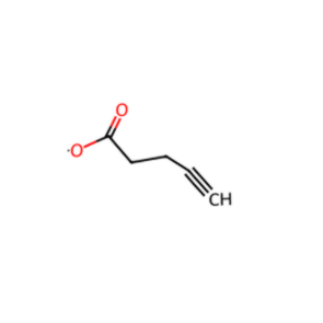 C#CCCC([O])=O